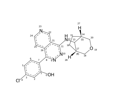 Oc1cc(Cl)ccc1-c1nnc(NC2[C@@H]3CC[C@H]2COC3)c2cnccc12